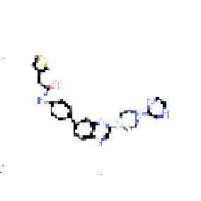 O=C(Cc1ccsc1)Nc1ccc(-c2ccc3ncc(N4CCN(c5cnccn5)CC4)nc3c2)cc1